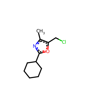 Cc1nc(C2CCCCC2)oc1CCl